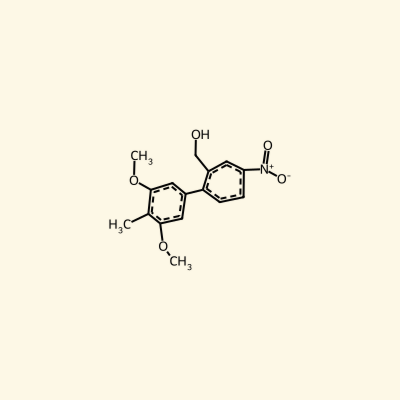 COc1cc(-c2ccc([N+](=O)[O-])cc2CO)cc(OC)c1C